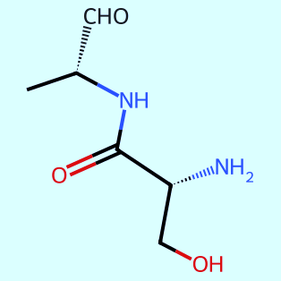 C[C@H](C=O)NC(=O)[C@H](N)CO